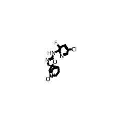 [O-][N+]12CCC(CC1)[C@]1(CN=C(Nc3ncc(Cl)cc3F)O1)C2